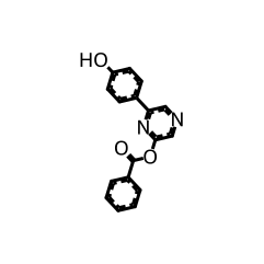 O=C(Oc1cncc(-c2ccc(O)cc2)n1)c1ccccc1